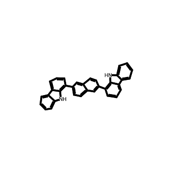 c1ccc2c(c1)[nH]c1c(-c3ccc4cc(-c5cccc6c5[nH]c5ccccc56)ccc4c3)cccc12